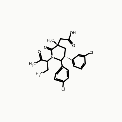 CC[C@@H](C(C)=O)N1C(=O)[C@](C)(CC(=O)O)C[C@H](c2cccc(Cl)c2)C1c1ccc(Cl)cc1